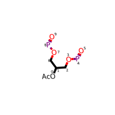 CC(=O)OC(COP=O)COP=O